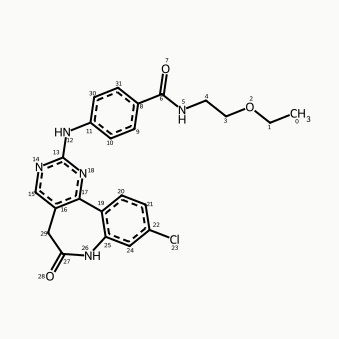 CCOCCNC(=O)c1ccc(Nc2ncc3c(n2)-c2ccc(Cl)cc2NC(=O)C3)cc1